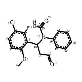 COc1ccc(Cl)c(F)c1C(CC=O)N(C(=O)O)c1ccccc1